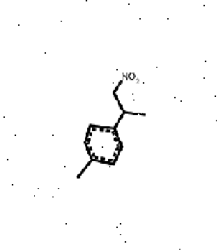 Cc1ccc(C(C)C[N+](=O)[O-])cc1